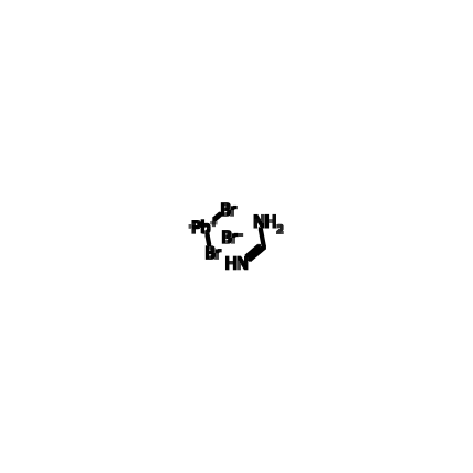 N=CN.[Br-].[Br][Pb+][Br]